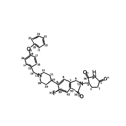 O=C1CCC(N2Cc3cc(C4CCN(Cc5ccc(Oc6ccccc6)cc5)CC4)c(F)cc3C2=O)C(=O)N1